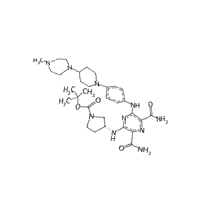 CN1CCN(C2CCN(c3ccc(Nc4nc(N[C@@H]5CCN(C(=O)OC(C)(C)C)C5)c(C(N)=O)nc4C(N)=O)cc3)CC2)CC1